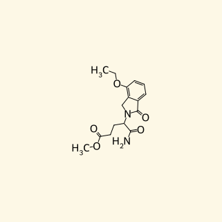 CCOc1cccc2c1CN(C(CCC(=O)OC)C(N)=O)C2=O